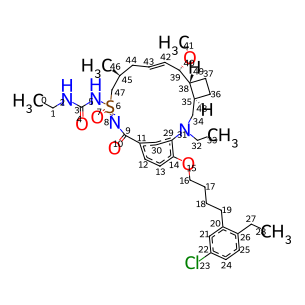 CCNC(=O)NS1(=O)=NC(=O)c2ccc(OCCCCc3cc(Cl)ccc3CC)c(c2)N(CC)C[C@@H]2CC[C@H]2[C@@H](OC)/C=C/C[C@H](C)C1